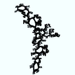 CCCCC(CC)C[Si]1(CC(CC)CCCC)c2cc(-c3cc(F)c(-c4cc5ccccc5s4)c4nsnc34)sc2-c2sc(-c3cc(F)c(-c4cc5ccccc5s4)c4nsnc34)cc21